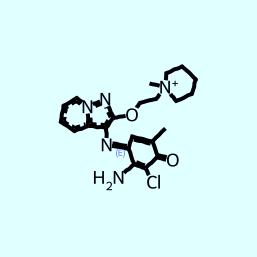 CC1=C/C(=N\c2c(OCC[N+]3(C)CCCCC3)nn3ccccc23)C(N)=C(Cl)C1=O